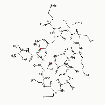 CSCC[C@H](N)C(=O)N[C@@H](Cc1c[nH]c2ccccc12)C(=O)N[C@H](C(=O)N[C@@H](CC(C)C)C(=O)N[C@@H](CCCCN)C(=O)N[C@@H](CO)C(=O)N[C@@H](CO)C(=O)N[C@@H](CC(C)C)C(=O)N[C@H](C(=O)N[C@@H](CC(C)C)C(=O)N[C@@H](CC(C)C)C(=O)N[C@@H](CS)C(=O)N[C@@H](CC(C)C)C(=O)N[C@H](C(=O)O)[C@@H](C)O)C(C)C)[C@@H](C)O